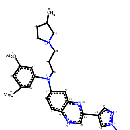 COc1cc(OC)cc(N(CCCN2CCC(C)C2)c2ccc3ncc(-c4cnn(C)c4)nc3c2)c1